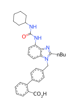 CCCCc1nc2c(NC(=O)NC3CCCCC3)cccc2n1Cc1ccc(-c2ccccc2C(=O)O)cc1